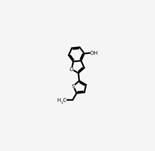 CCc1ccc(-c2cc3c(O)cccc3o2)s1